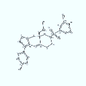 COC[C@]12Cc3cnn(-c4ccc(F)cc4)c3C=C1CCN(S(=O)(=O)c1ccnc(Cl)c1)C2